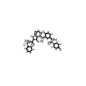 CC1=C2C(Nc3cc(NC(=O)c4ccc(C)cc4)ccc3C)=NC=NN2CC1C(=O)N[C@@H](C)c1ccccc1